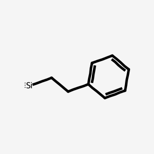 [Si]CCc1ccccc1